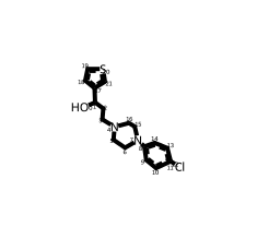 OC(CCN1CCN(c2ccc(Cl)cc2)CC1)c1ccsc1